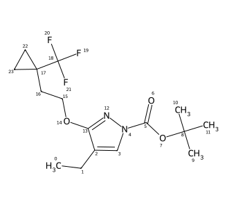 CCc1cn(C(=O)OC(C)(C)C)nc1OCCC1(C(F)(F)F)CC1